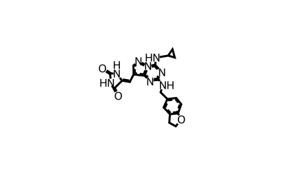 O=C1NC(=O)/C(=C/c2cnn3c(NC4CC4)nc(NCc4ccc5c(c4)CCO5)nc23)N1